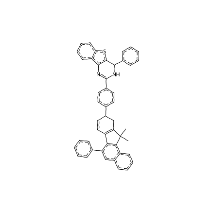 CC1(C)C2=C(C=CC(c3ccc(C4=Nc5c(sc6ccccc56)C(c5ccccc5)N4)cc3)C2)c2c(-c3ccccc3)cc3ccccc3c21